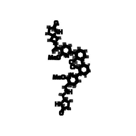 COc1nc(-c2cccc(-c3cccc(-c4ccc(C(C)N5CC6(CCC(=O)N6)C5)c(OC)n4)c3Cl)c2Cl)ccc1CNC[C@H]1CCC(=O)N1